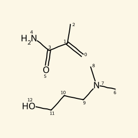 C=C(C)C(N)=O.CN(C)CCCO